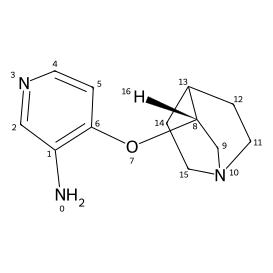 Nc1cnccc1O[C@H]1CN2CCC1CC2